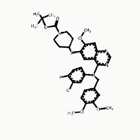 COc1ccc(CN(c2ccc(F)c(Cl)c2)c2ncnc3cc(OC)c(SC4CCN(C(=O)OC(C)(C)C)CC4)cc23)cc1OC